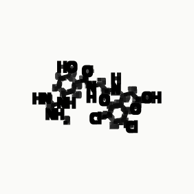 N=C(N)Nc1ccc(O)c(C(=O)NCC(=O)NC(CC(=O)O)c2cc(Cl)cc(Cl)c2)c1